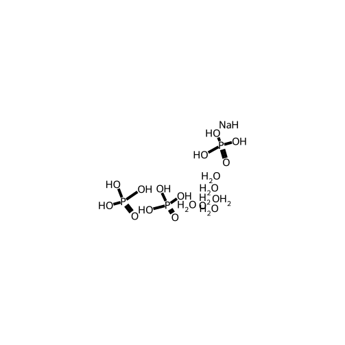 O.O.O.O.O.O.O=P(O)(O)O.O=P(O)(O)O.O=P(O)(O)O.[NaH]